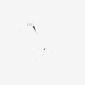 CC(O)C1=CC[C@@]23OCCN(C)C[C@@]12C[C@@H](O)[C@]12O[C@@]4(O)CC[C@@]1(C)[C@H](CC=C32)C4